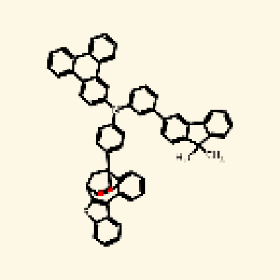 CC1(C)c2ccccc2-c2cc(-c3cccc(N(c4ccc(-c5ccc6c(c5)-c5cccc7c5CCC6c5sc6ccccc6c5-7)cc4)c4ccc5c6ccccc6c6ccccc6c5c4)c3)ccc21